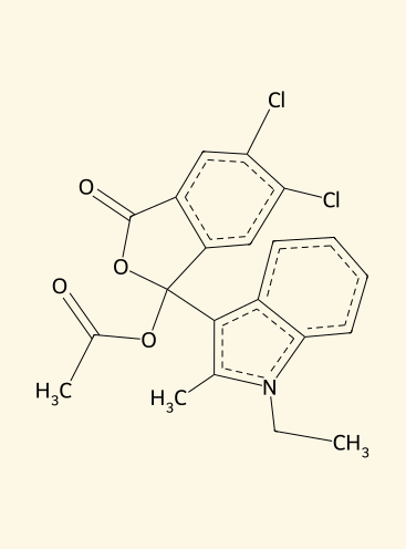 CCn1c(C)c(C2(OC(C)=O)OC(=O)c3cc(Cl)c(Cl)cc32)c2ccccc21